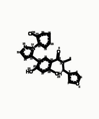 CN(Cc1ccoc1)C(=O)c1cc(-c2ccnn2-c2ccccc2Cl)c(O)cc1O